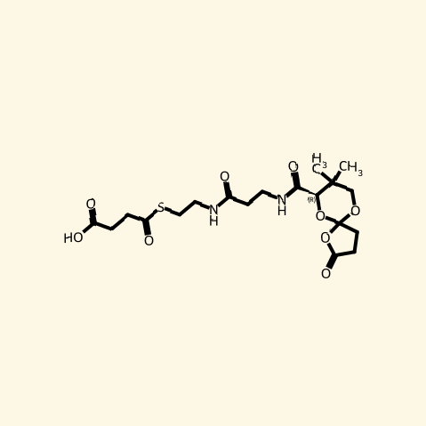 CC1(C)COC2(CCC(=O)O2)O[C@H]1C(=O)NCCC(=O)NCCSC(=O)CCC(=O)O